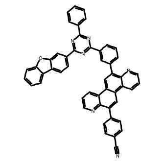 N#Cc1ccc(-c2cc3c4cccnc4c(-c4cccc(-c5nc(-c6ccccc6)nc(-c6ccc7c(c6)oc6ccccc67)n5)c4)cc3c3cccnc23)cc1